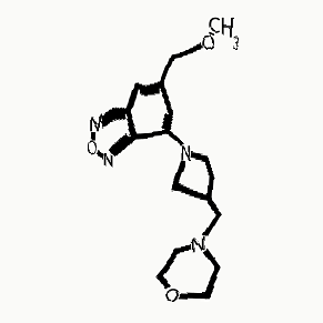 COCc1cc(N2CC(CN3CCOCC3)C2)c2nonc2c1